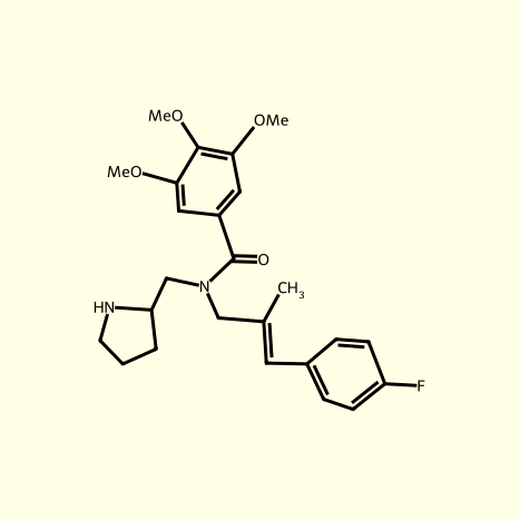 COc1cc(C(=O)N(C/C(C)=C/c2ccc(F)cc2)CC2CCCN2)cc(OC)c1OC